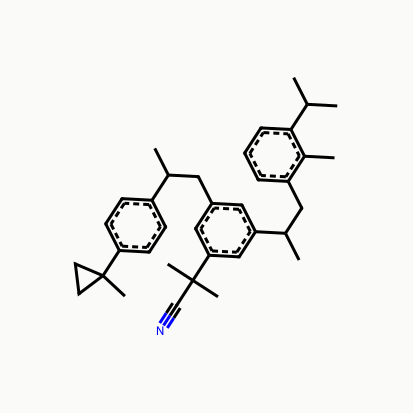 Cc1c(CC(C)c2cc(CC(C)c3ccc(C4(C)CC4)cc3)cc(C(C)(C)C#N)c2)cccc1C(C)C